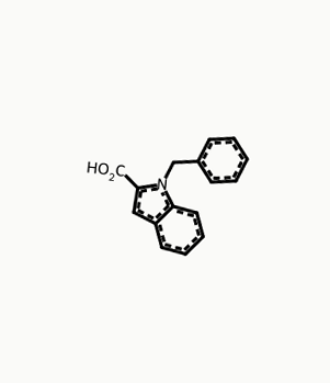 O=C(O)c1cc2ccccc2n1Cc1ccccc1